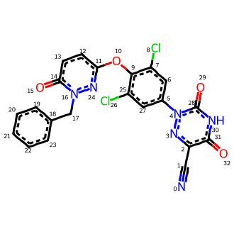 N#Cc1nn(-c2cc(Cl)c(Oc3ccc(=O)n(Cc4ccccc4)n3)c(Cl)c2)c(=O)[nH]c1=O